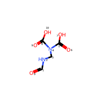 O=CNCN(C(=O)O)C(=O)O